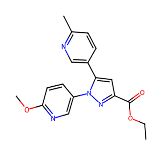 CCOC(=O)c1cc(-c2ccc(C)nc2)n(-c2ccc(OC)nc2)n1